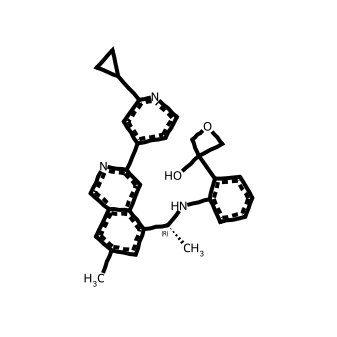 Cc1cc([C@@H](C)Nc2ccccc2C2(O)COC2)c2cc(-c3ccnc(C4CC4)c3)ncc2c1